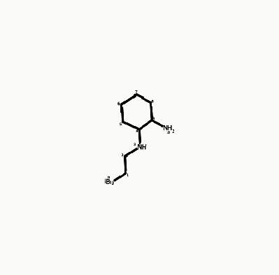 CCC(C)CCNC1CCCCC1N